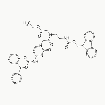 CCOC(=O)CN(CCNC(=O)OCC1c2ccccc2-c2ccccc21)C(=O)Cn1ccc(NC(=O)OC(c2ccccc2)c2ccccc2)nc1=O